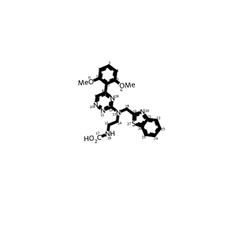 COc1cccc(OC)c1-c1cnnc(N(CCNC(=O)O)Cc2nc3ccccc3s2)n1